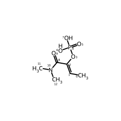 CC=C(OP(=O)(O)O)C(=O)N(C)C